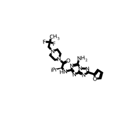 CC(C)[C@H](Nc1nc(N)n2nc(-c3ccco3)nc2n1)C(=O)N1CCN(CC(C)(F)F)CC1